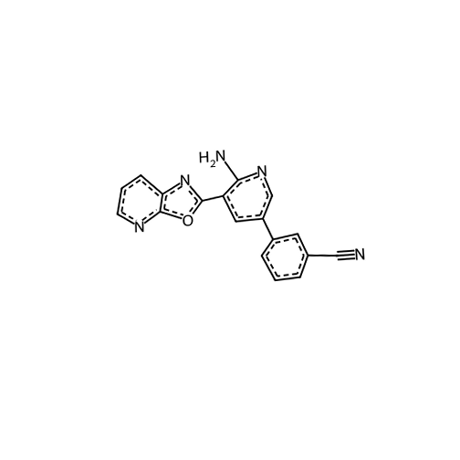 N#Cc1cccc(-c2cnc(N)c(-c3nc4cccnc4o3)c2)c1